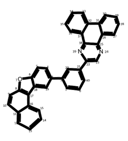 c1cc(-c2ccc3oc4ccc5ccccc5c4c3c2)cc(-c2cnc3c4ccccc4c4ccccc4c3n2)c1